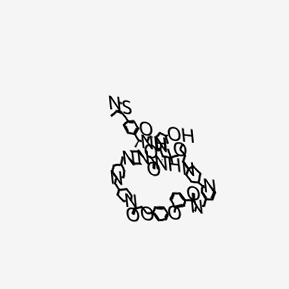 COCCN1CCC(c2cc(CN(C)C(=O)c3cccc(Oc4ccc(OCC(=O)N5CCC(CN6CCC(CN7CCN(CC(=O)N[C@H](C(=O)N8C[C@H](O)C[C@H]8C(=O)N[C@@H](C)c8ccc(-c9scnc9C)cc8)C(C)(C)C)CC7)CC6)CC5)cc4)c3)ccn2)CC1